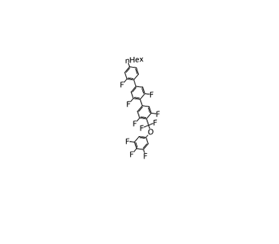 CCCCCCc1ccc(-c2cc(F)c(-c3cc(F)c(C(F)(F)Oc4cc(F)c(F)c(F)c4)c(F)c3)c(F)c2)c(F)c1